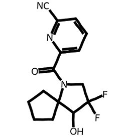 N#Cc1cccc(C(=O)N2CC(F)(F)C(O)C23CCCC3)n1